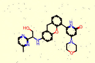 Cc1ccnc(C(CO)Nc2ccc3c(c2)Cc2cccc(-c4cc(N5CCOCC5)cc(=O)[nH]4)c2O3)n1